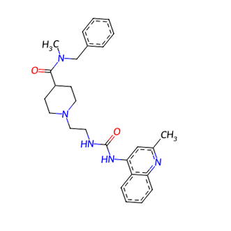 Cc1cc(NC(=O)NCCN2CCC(C(=O)N(C)Cc3ccccc3)CC2)c2ccccc2n1